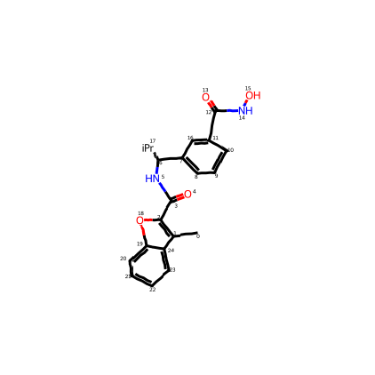 Cc1c(C(=O)NC(c2cccc(C(=O)NO)c2)C(C)C)oc2ccccc12